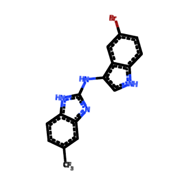 FC(F)(F)c1ccc2[nH]c(Nc3c[nH]c4ccc(Br)cc34)nc2c1